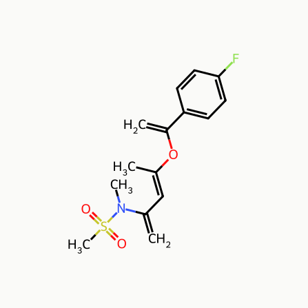 C=C(O/C(C)=C/C(=C)N(C)S(C)(=O)=O)c1ccc(F)cc1